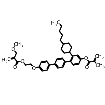 C=C(C)C(=O)Oc1ccc(-c2ccc(-c3ccc(OCCOC(=O)C(=C)COC)cc3)cc2)c(C2CCC(CCCCC)CC2)c1